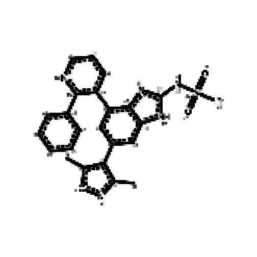 Cc1noc(C)c1-c1cc(-c2cccnc2-c2ccccc2)c2nc(NS(=O)(=O)C(C)C)[nH]c2c1